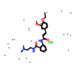 CCOc1ccc(C=CC(=O)Nc2ccccc2C(=O)NCCN(C)C)cc1OC.Cl